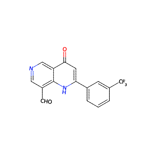 O=Cc1cncc2c(=O)cc(-c3cccc(C(F)(F)F)c3)[nH]c12